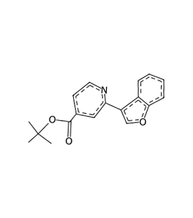 CC(C)(C)OC(=O)c1ccnc(-c2coc3ccccc23)c1